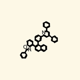 c1ccc(-c2cc(-c3ccccc3)nc(-c3cccc(-c4c(-c5cccc6oc(-c7ccccc7)nc56)ccc5ccccc45)c3)c2)cc1